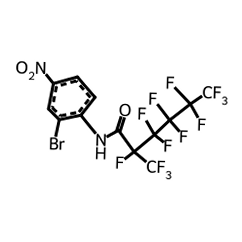 O=C(Nc1ccc([N+](=O)[O-])cc1Br)C(F)(C(F)(F)F)C(F)(F)C(F)(F)C(F)(F)C(F)(F)F